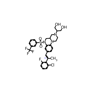 C/C(=C\c1ccc2c(c1)N(S(=O)(=O)c1cccc(C(F)(F)F)c1)CC1CN(C(CO)CO)CCN21)c1c(F)cccc1Cl